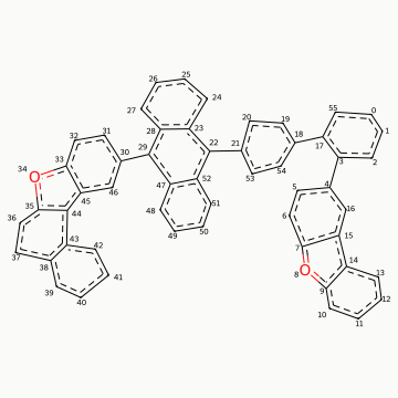 c1ccc(-c2ccc3oc4ccccc4c3c2)c(-c2ccc(-c3c4ccccc4c(-c4ccc5oc6ccc7ccccc7c6c5c4)c4ccccc34)cc2)c1